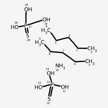 CCCCC.CCCCC.N.OP(O)(O)=S.OP(O)(O)=S